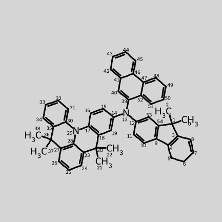 CC1(C)C2=C(CCC=C2)c2ccc(N(c3ccc4c(c3)C(C)(C)c3cccc5c3N4c3ccccc3C5(C)C)c3cc4ccccc4c4ccccc34)cc21